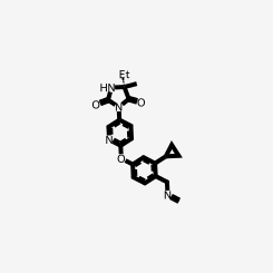 C=NCc1ccc(Oc2ccc(N3C(=O)N[C@](C)(CC)C3=O)cn2)cc1C1CC1